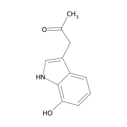 CC(=O)Cc1c[nH]c2c(O)cccc12